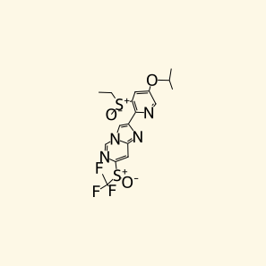 CC[S+]([O-])c1cc(OC(C)C)cnc1-c1cn2cnc([S+]([O-])C(F)(F)F)cc2n1